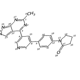 Cc1nc(-c2cncc(-c3ccc(N4CCCC4=O)cc3)c2)c2c[nH]nc2n1